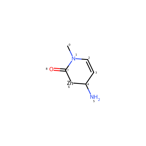 CN1C=C[CH](N)[Zn][C]1=O